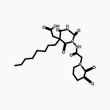 CCCCCCCCC1(CC(=O)O)C(=O)NC(=O)N(NC(=O)CN2CCCC(=O)C2=O)C1=O